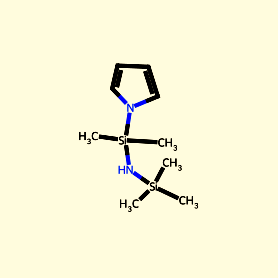 C[Si](C)(C)N[Si](C)(C)n1cccc1